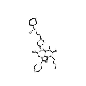 CCCCn1c(=O)n(C)c(=O)c2c1nc(N1CCOCC1)n2CC(O)CN1CCN(CCC[S+]([O-])c2ccccc2)CC1